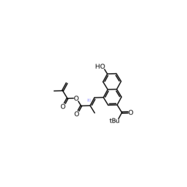 C=C(C)C(=O)OC(=O)/C(C)=C/c1cc(C(=O)C(C)(C)C)cc2ccc(O)cc12